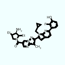 CCC1CN(C(=O)c2cnc3c(C)c(-c4cc5ccc(-c6cccc(O)c6F)nc5n4CC4CC4)nn3c2)C(CC)[C@@H]1N